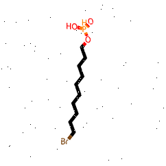 O=[PH](O)OCCCCCCCCCCBr